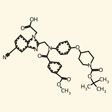 COC(=O)c1ccc(C(=O)N(Cc2nc3cc(C#N)ccc3n2CC(=O)O)c2ccc(OC3CCN(C(=O)OC(C)(C)C)CC3)cc2)cc1